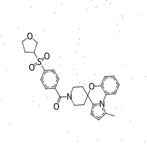 Cc1ccc2n1-c1ccccc1OC21CCN(C(=O)c2ccc(S(=O)(=O)C3CCOC3)cc2)CC1